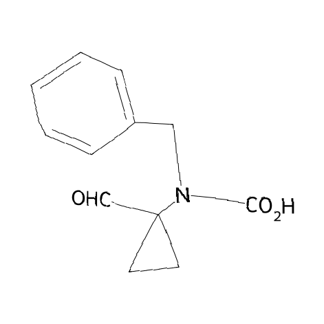 O=CC1(N(Cc2ccccc2)C(=O)O)CC1